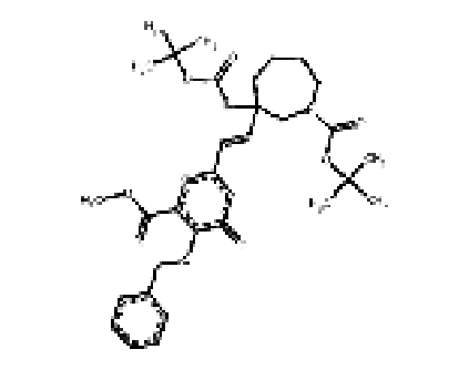 COC(=O)c1oc(C=CC2(NC(=O)OC(C)(C)C)CCCCN(C(=O)OC(C)(C)C)C2)cc(=O)c1OCc1ccccc1